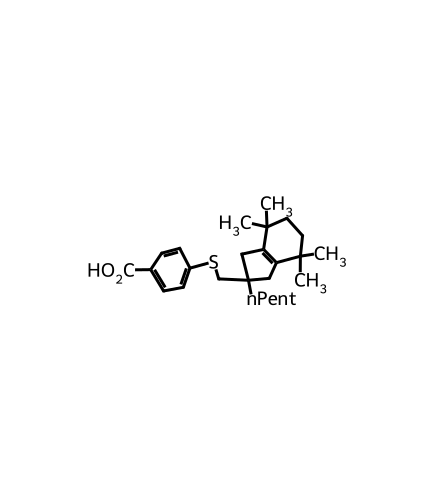 CCCCCC1(CSc2ccc(C(=O)O)cc2)CC2=C(C1)C(C)(C)CCC2(C)C